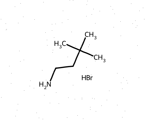 Br.CC(C)(C)CCN